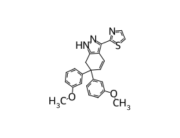 COc1cccc(C2(c3cccc(OC)c3)C=Cc3c(-c4nccs4)n[nH]c3C2)c1